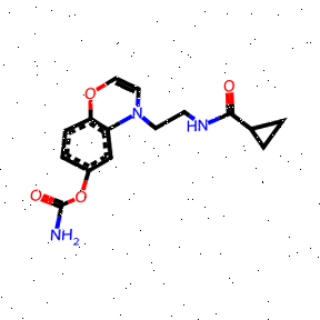 NC(=O)Oc1ccc2c(c1)N(CCNC(=O)C1CC1)C=CO2